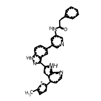 Cc1ccc(-c2ccnc3[nH]c(-c4n[nH]c5ccc(-c6cncc(NC(=O)Cc7ccccc7)c6)cc45)cc23)s1